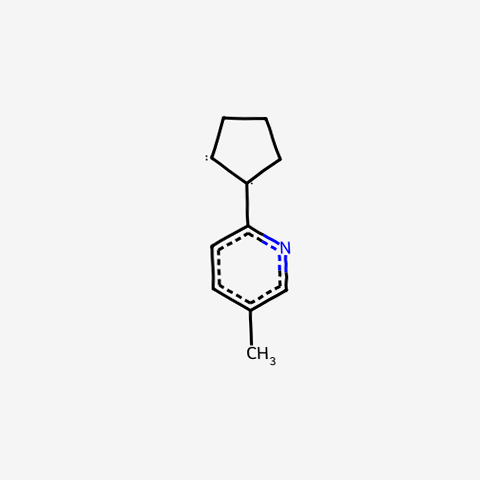 Cc1ccc([C]2[C]CCC2)nc1